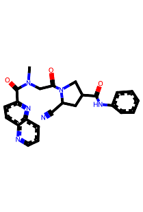 CN(CC(=O)N1CC(C(=O)Nc2ccccc2)CC1C#N)C(=O)c1ccc2ncccc2n1